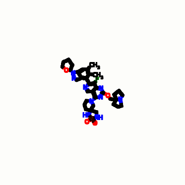 Cc1cc2c(cnn2C2CCCCO2)c(-c2ncc3c(N4CCCC5(CNS(=O)(=O)N5)C4)nc(OCC45CCCN4CCC5)nc3c2F)c1C